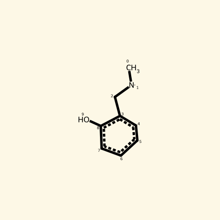 C[N]Cc1ccccc1O